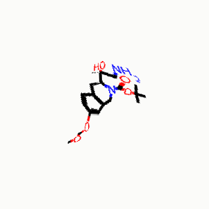 COCOc1ccc2c(c1)CN(C(=O)OC(C)(C)C)[C@H]([C@@](C)(O)CN)C2